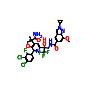 COc1cc(C(=O)NCC(O)(c2cc3c(c(-c4ccc(Cl)c(Cl)c4F)n2)OC[C@]3(C)C(N)=O)C(F)(F)F)cc2cn(C3CC3)nc12